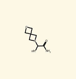 CCCC(C(N)=O)N1CC2(COC2)C1